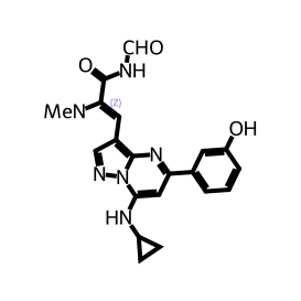 CN/C(=C\c1cnn2c(NC3CC3)cc(-c3cccc(O)c3)nc12)C(=O)NC=O